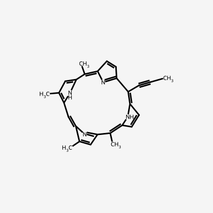 CC#Cc1c2nc(c(C)c3cc(C)c(cc4nc(c(C)c5ccc1[nH]5)C=C4C)[nH]3)C=C2